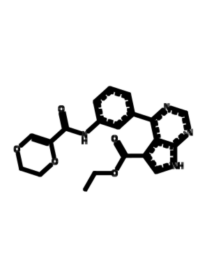 CCOC(=O)c1c[nH]c2ncnc(-c3cccc(NC(=O)C4=COCCO4)c3)c12